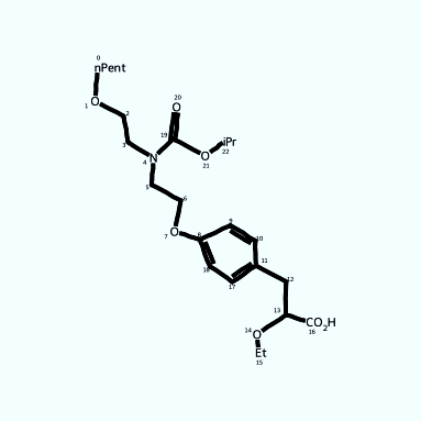 CCCCCOCCN(CCOc1ccc(CC(OCC)C(=O)O)cc1)C(=O)OC(C)C